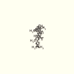 CC1C=C(Nc2ncc(Cl)c(Nc3cn(C)nc3S(=O)(=O)C(C)C)n2)C(OC2CC2)=CC1[C@H]1CC[C@H](N(C)C)CC1